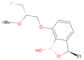 CCCCO[C@H](CF)COc1cccc2c1B(O)O[C@@H]2CC